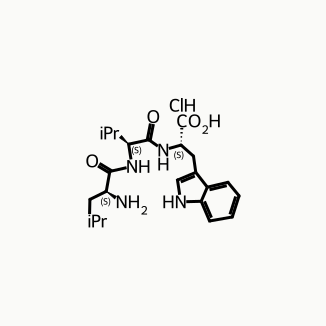 CC(C)C[C@H](N)C(=O)N[C@H](C(=O)N[C@@H](Cc1c[nH]c2ccccc12)C(=O)O)C(C)C.Cl